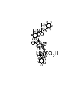 O=C(NCc1ccccc1)Nc1cccc(N2CC(C(=O)NCC(NS(=O)(=O)c3ccccc3)C(=O)O)CC2=O)c1